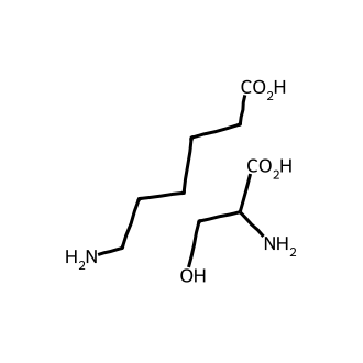 NC(CO)C(=O)O.NCCCCCC(=O)O